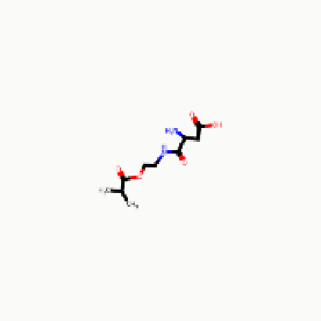 CC(C)C(=O)OCCNC(=O)C(N)CC(=O)O